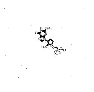 C=C1[C@H](OCP(=O)(OCC)OCC)CC[C@@H]1n1cnc2c(=O)[nH]c(N)nc21